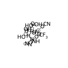 C[C@]12CC[C@@H](O)C[C@H]1CC[C@@H]1[C@@H]2C(=O)C[C@@]2(C)[C@H]1CC[C@]2(O)C(=O)CO.N#Cc1ccc(C2CCN(C(=O)c3cc(-c4nc5cc(N6CCCC6)ncc5[nH]4)ccc3OC(F)(F)F)CC2)cc1